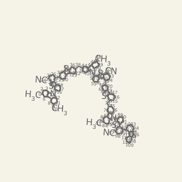 Cc1ccc2c(c1)c1cc(C)ccc1n2-c1cccc2c1sc1c(C#N)ccc(-c3ccc4c(c3)sc3cc(Cc5ccc6c(c5)c5cc(C)ccc5n6-c5cccc6c5sc5c(C#N)ccc(-c7ccc8sc9c(Cc%10ccc%11c(c%10)c%10cc(C)ccc%10n%11-c%10cccc%11c%10sc%10c(C#N)ccc(-c%12cccc%13sc%14ccccc%14c%12%13)c%10%11)cccc9c8c7)c56)ccc34)c12